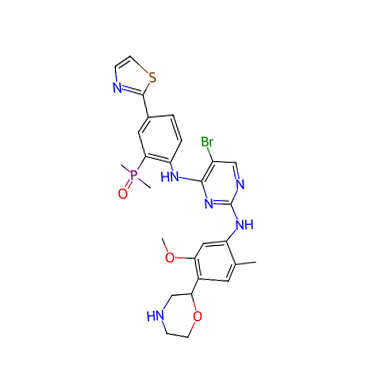 COc1cc(Nc2ncc(Br)c(Nc3ccc(-c4nccs4)cc3P(C)(C)=O)n2)c(C)cc1C1CNCCO1